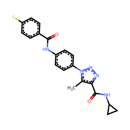 Cc1c(C(=O)NC2CC2)nnn1-c1ccc(NC(=O)c2ccc(F)cc2)cc1